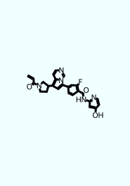 C=CC(=O)N1CCC(c2cc(-c3ccc(C(=O)Nc4cc(O)ccn4)c(F)c3)n3cnccc23)C1